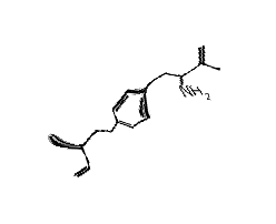 C=CC(=C)CCc1ccc(CC(N)C(=C)C)cc1